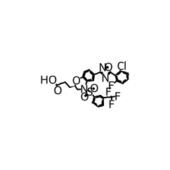 O=C(O)CC[C@@H]1CN(S(=O)(=O)c2cccc(C(F)(F)F)c2)c2cc(-c3noc(-c4c(F)cccc4Cl)n3)ccc2O1